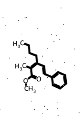 CCCCC(C=Cc1ccccc1)=C(C)C(=O)OC